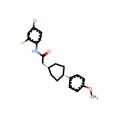 COc1ccc([C@H]2CC[C@@H](CC(=O)Nc3ccc(Cl)cc3F)CC2)cc1